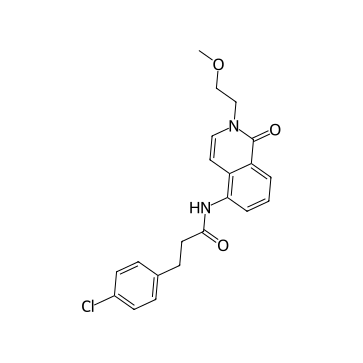 COCCn1ccc2c(NC(=O)CCc3ccc(Cl)cc3)cccc2c1=O